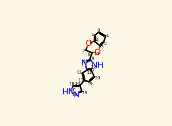 c1ccc2c(c1)OCC(c1nc3cc(-c4cn[nH]c4)ccc3[nH]1)O2